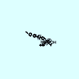 CCC[C@H]1CC[C@H](C2CCN(c3cnc(-c4ccc(C[C@H](NC(=O)c5ccc(C(C)(C)C)s5)C(=O)N[C@H](CC(C)C)C(=O)O)cc4)nc3)CC2)CC1